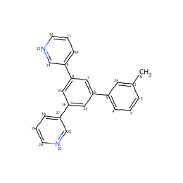 Cc1cccc(-c2cc(-c3cccnc3)cc(-c3cccnc3)c2)c1